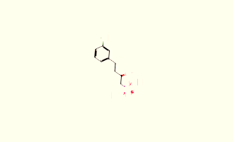 O=C(CCc1cccc(Cl)c1)CP(=O)(O)O